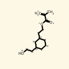 C=C(C)C(=O)OCCC1CCCC(CCO)C1